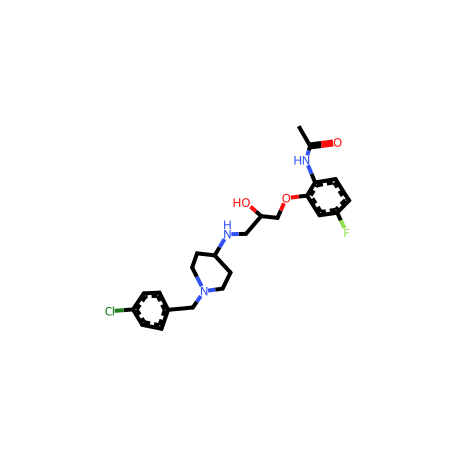 CC(=O)Nc1ccc(F)cc1OCC(O)CNC1CCN(Cc2ccc(Cl)cc2)CC1